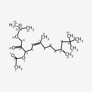 CC(=O)OC(CC=C(C)CCC[C@H](C)CC(C)(C)C)C(=O)CO[SiH](C)C